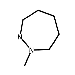 CN1CCCCC[N]1